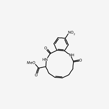 COC(=O)C1C/C=C\CCC(=O)Nc2cc([N+](=O)[O-])ccc2C(=O)N1